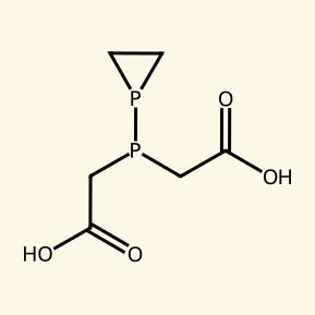 O=C(O)CP(CC(=O)O)P1CC1